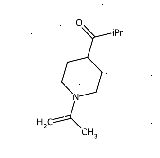 C=C(C)N1CCC(C(=O)C(C)C)CC1